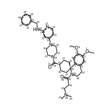 COc1cc2c(cc1OC)[C@]1(CC[C@H](C(=O)N3CCN(c4ccnc(NCc5ccccc5)c4)CC3)CC1)N(C(=O)CCN(C)C)CC2